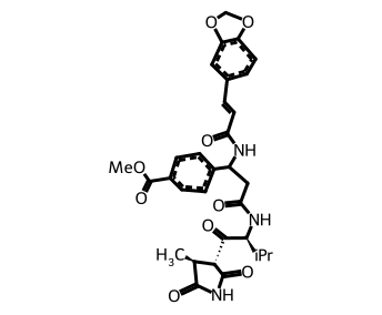 COC(=O)c1ccc(C(CC(=O)N[C@H](C(=O)[C@@H]2C(=O)NC(=O)[C@H]2C)C(C)C)NC(=O)/C=C/c2ccc3c(c2)OCO3)cc1